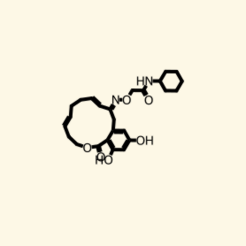 O=C(CO/N=C1/C=C/CC/C=C/CCOC(=O)c2c(O)cc(O)cc2C1)NC1CCCCC1